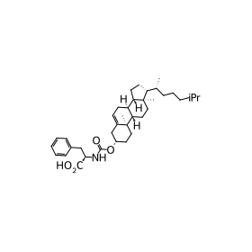 CC(C)CCC[C@@H](C)[C@H]1CC[C@H]2[C@@H]3CC=C4C[C@@H](OC(=O)N[C@H](Cc5ccccc5)C(=O)O)CC[C@]4(C)[C@H]3CC[C@]12C